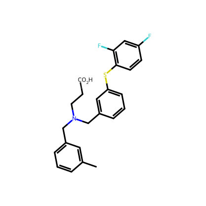 Cc1cccc(CN(CCC(=O)O)Cc2cccc(Sc3ccc(F)cc3F)c2)c1